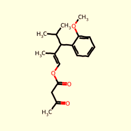 COc1ccccc1C(C(C)=COC(=O)CC(C)=O)C(C)C